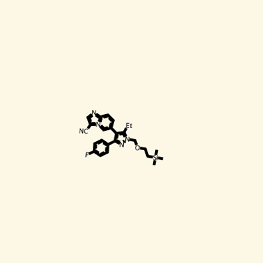 CCc1c(-c2ccc3ncc(C#N)n3c2)c(-c2ccc(F)cc2)nn1COCC[Si](C)(C)C